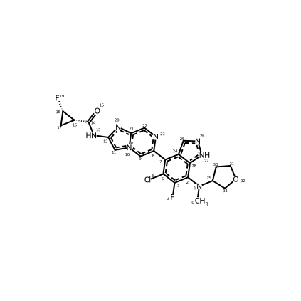 CN(c1c(F)c(Cl)c(-c2cn3cc(NC(=O)[C@@H]4C[C@@H]4F)nc3cn2)c2cn[nH]c12)C1CCOC1